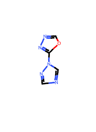 [c]1nnc(-n2cncn2)o1